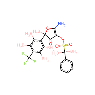 Bc1c(B)c(C2(B)OC(N)=C(OS(=O)(=O)C(B)(B)c3ccccc3)C2=O)c(B)c(B)c1C(F)(F)F